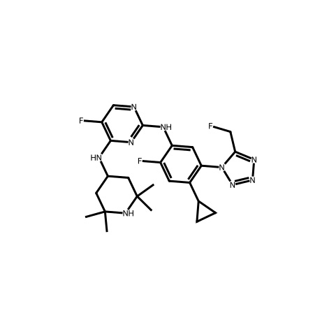 CC1(C)CC(Nc2nc(Nc3cc(-n4nnnc4CF)c(C4CC4)cc3F)ncc2F)CC(C)(C)N1